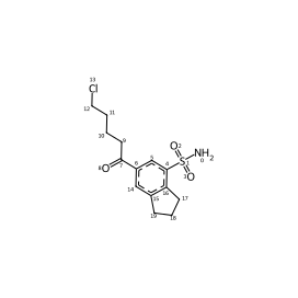 NS(=O)(=O)c1cc(C(=O)CCCCCl)cc2c1CCC2